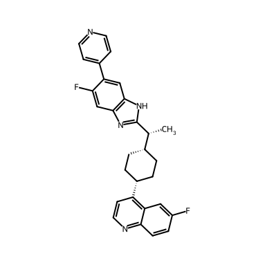 C[C@@H](c1nc2cc(F)c(-c3ccncc3)cc2[nH]1)[C@H]1CC[C@@H](c2ccnc3ccc(F)cc32)CC1